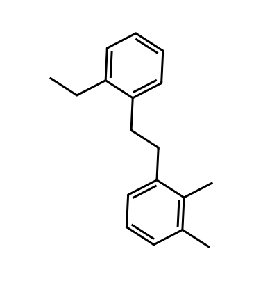 CCc1ccccc1CCc1cccc(C)c1C